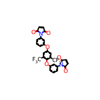 O=C1C=CC(=O)N1c1cccc(Oc2cc(C(F)(F)F)c(Oc3cccc(N4C(=O)C=CC4=O)c3)c(C(F)(F)F)c2)c1